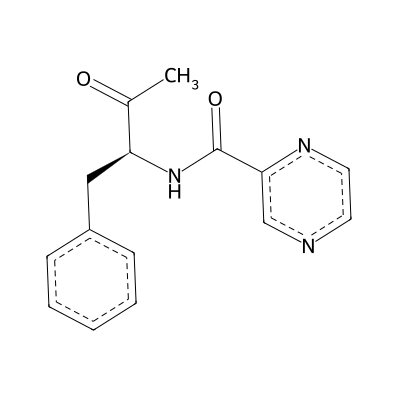 CC(=O)[C@H](Cc1ccccc1)NC(=O)c1cnccn1